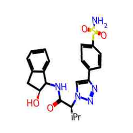 CC(C)[C@@H](C(=O)NC1c2ccccc2C[C@@H]1O)n1cc(-c2ccc(S(N)(=O)=O)cc2)nn1